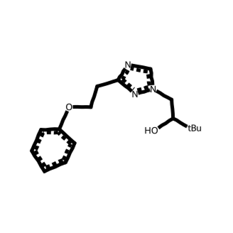 CC(C)(C)C(O)Cn1cnc(CCOc2ccccc2)n1